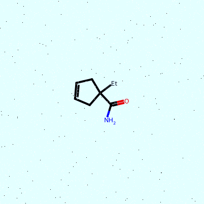 CCC1(C(N)=O)CC=CC1